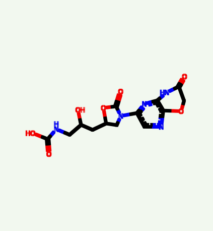 O=C(O)NCC(O)CC1CN(c2cnc3c(n2)NC(=O)CO3)C(=O)O1